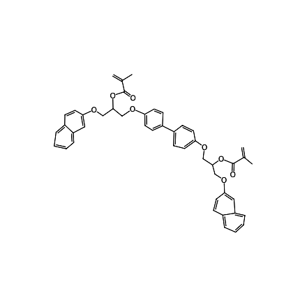 C=C(C)C(=O)OC(COc1ccc(-c2ccc(OCC(COc3ccc4ccccc4c3)OC(=O)C(=C)C)cc2)cc1)COc1ccc2ccccc2c1